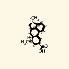 CN1CC2C[C@@H]3C(=C[C@@H](C(=O)O)CN3C)c3cccc1c32